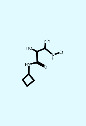 CCCC(NCC)C(O)C(=O)NC1CCC1